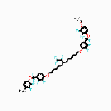 CCOc1ccc(OC(F)(F)c2ccc(OCCCCCCC(CCCCCCOc3ccc(C(F)(F)Oc4ccc(C)c(F)c4F)c(F)c3F)C(F)=C(F)F)c(F)c2F)c(F)c1F